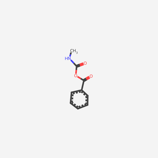 CNC(=O)OC(=O)c1ccccc1